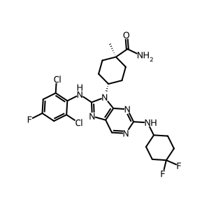 C[C@]1(C(N)=O)CC[C@H](n2c(Nc3c(Cl)cc(F)cc3Cl)nc3cnc(NC4CCC(F)(F)CC4)nc32)CC1